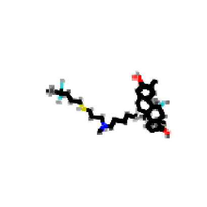 Cc1cc2c(cc1O)C[C@@H](CCCCCN(C)CCCSCCCC(F)(F)C(F)(F)F)[C@@H]1[C@@H]2[C@@H](F)C[C@]2(C)C(=O)CC[C@@H]12